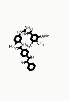 [3H]C(c1ccccc1)C([3H])c1ccc(C(=O)Nc2cc(NC(=N)NC(=O)c3cc(C)c(C)c(OC)c3)ccc2C)cc1